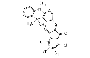 CN1c2ccccc2C(C)(C)c2cc(C=C3C(=O)c4c(Cl)c(Cl)c(Cl)c(Cl)c4C3=O)ccc21